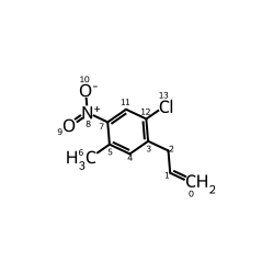 C=CCc1cc(C)c([N+](=O)[O-])cc1Cl